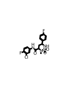 CN1C(C(=O)Nc2ccc(F)c(Cl)c2)CC(c2ccc(F)cc2)NS1(=O)=O